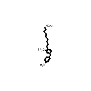 CCCCCCCCCCCCCCCCCCCc1ccc(Cc2ccc(N)cc2)cc1C